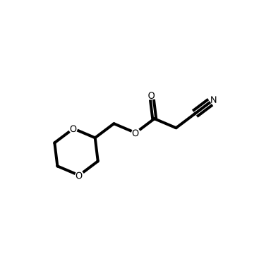 N#CCC(=O)OCC1COCCO1